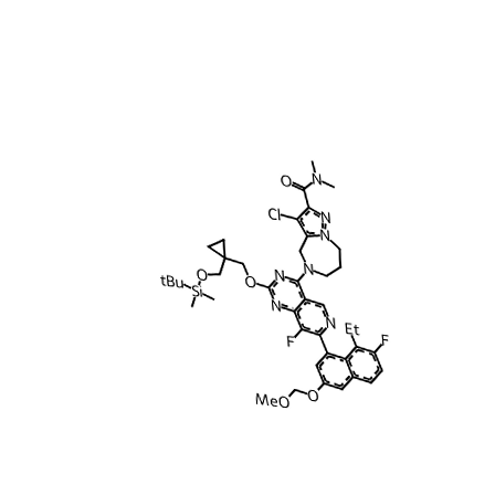 CCc1c(F)ccc2cc(OCOC)cc(-c3ncc4c(N5CCCn6nc(C(=O)N(C)C)c(Cl)c6C5)nc(OCC5(CO[Si](C)(C)C(C)(C)C)CC5)nc4c3F)c12